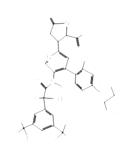 CCCC.Cc1cc(F)ccc1-c1cc(C2CC(=O)NC2C(=O)O)ncc1N(C)C(=O)C(C)(C)c1cc(C(F)(F)F)cc(C(F)(F)F)c1